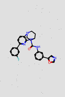 O=C(Nc1cccc(-c2cnco2)c1)N1c2nc(-c3cccc(F)c3)ccc2N2CCC1CC2